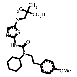 COc1ccc(CCN(C(=O)Nc2ncc(SCC(C)(C)C(=O)O)s2)C2CCCCC2)cc1